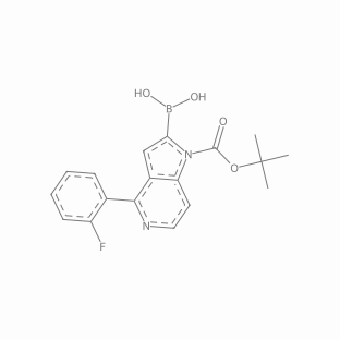 CC(C)(C)OC(=O)n1c(B(O)O)cc2c(-c3ccccc3F)nccc21